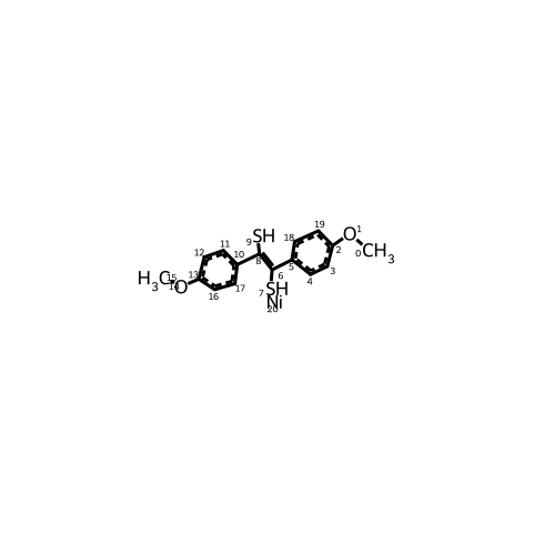 COc1ccc(C(S)=C(S)c2ccc(OC)cc2)cc1.[Ni]